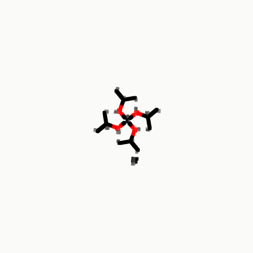 CC(C)[O][Ti]([O]C(C)C)([O]C(C)C)[O]C(C)C.[Hf]